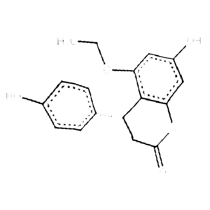 CCOc1cc(O)cc2c1[C@@H](c1ccc(O)cc1)CC(=O)O2